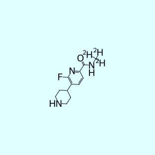 [2H]C([2H])([2H])NC(=O)c1ccc(C2CCNCC2)c(F)n1